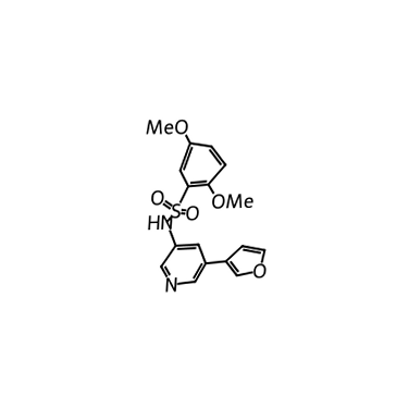 COc1ccc(OC)c(S(=O)(=O)Nc2cncc(-c3ccoc3)c2)c1